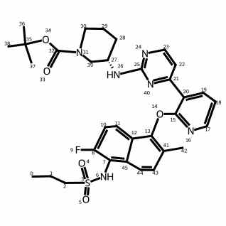 CCCS(=O)(=O)Nc1c(F)ccc2c(Oc3ncccc3-c3ccnc(N[C@H]4CCCN(C(=O)OC(C)(C)C)C4)n3)c(C)ccc12